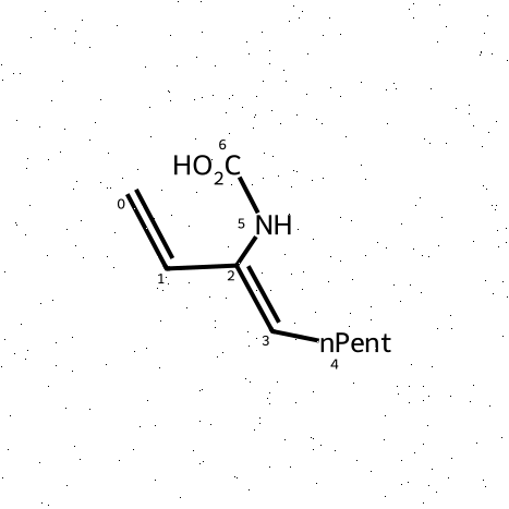 C=CC(=CCCCCC)NC(=O)O